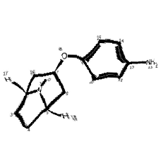 CN1[C@@H]2CC[C@H]1C[C@H](Oc1ccc(N)cc1)C2